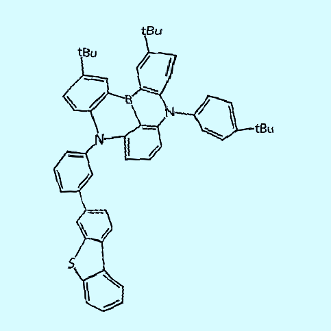 CC(C)(C)c1ccc(N2c3ccc(C(C)(C)C)cc3B3c4cc(C(C)(C)C)ccc4N(c4cccc(-c5ccc6c(c5)sc5ccccc56)c4)c4cccc2c43)cc1